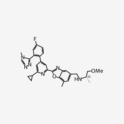 COC[C@H](C)NCc1cc(C)c2oc(-c3cc(-c4ccc(F)cc4-c4nncn4C)cc(C4CC4)n3)nc2c1